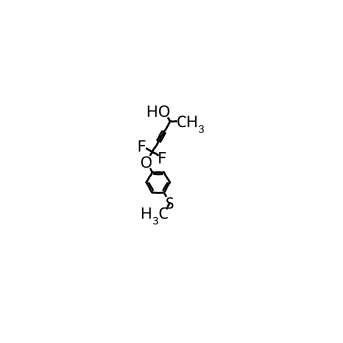 CSc1ccc(OC(F)(F)C#CC(C)O)cc1